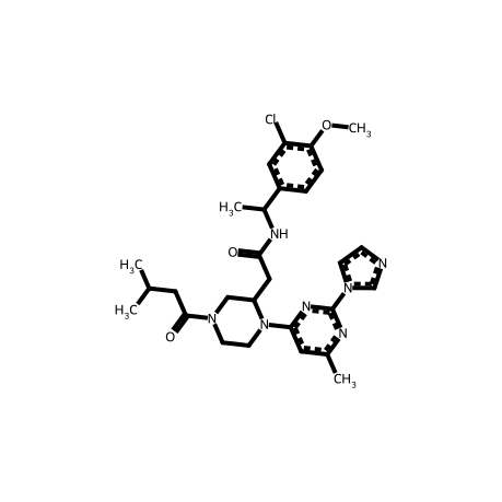 COc1ccc(C(C)NC(=O)CC2CN(C(=O)CC(C)C)CCN2c2cc(C)nc(-n3ccnc3)n2)cc1Cl